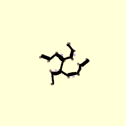 C=C\C=C/C(=C\C)C(/C=C\C)=C\C=C